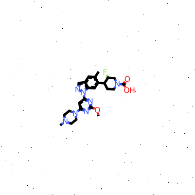 COc1nc(N2CCN(C)CC2)cc(-n2ncc3cc(C)c(C4CCN(C(=O)O)CC4F)cc32)n1